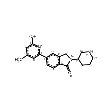 Cc1cc(O)nc(-c2ccc3c(c2)CN(C2CCCNC2)C3=O)c1